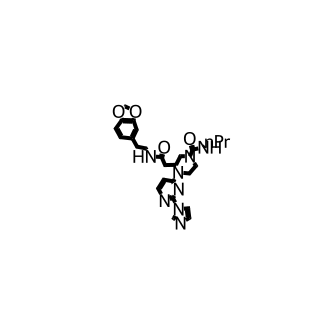 CCCNC(=O)N1CCN(c2ccnc(-n3ccnc3)n2)C(CC(=O)NCCc2ccc3c(c2)OCO3)C1